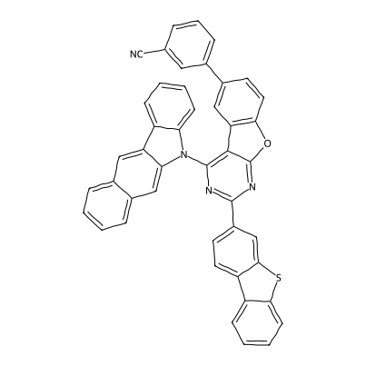 N#Cc1cccc(-c2ccc3oc4nc(-c5ccc6c(c5)sc5ccccc56)nc(-n5c6ccccc6c6cc7ccccc7cc65)c4c3c2)c1